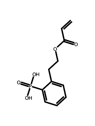 C=CC(=O)OCCc1ccccc1P(=O)(O)O